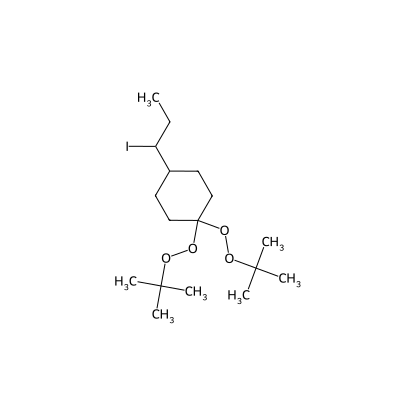 CCC(I)C1CCC(OOC(C)(C)C)(OOC(C)(C)C)CC1